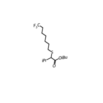 CC(C)COC(=O)C(SCCCCCCC(F)(F)F)C(C)C